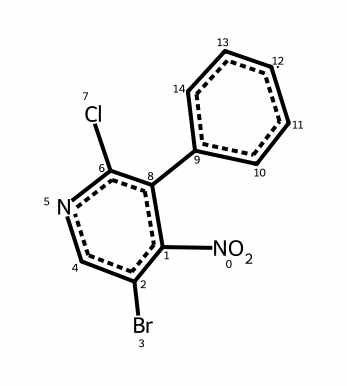 O=[N+]([O-])c1c(Br)cnc(Cl)c1-c1cc[c]cc1